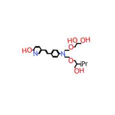 CC(C)C(CO)COCCN(CCOCC(O)CO)c1ccc(/C=C/c2ccc(O)nc2)cc1